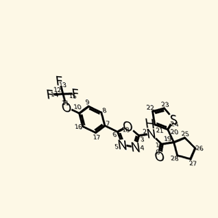 O=C(Nc1nnc(-c2ccc(OC(F)(F)F)cc2)o1)C1(c2cccs2)CCCC1